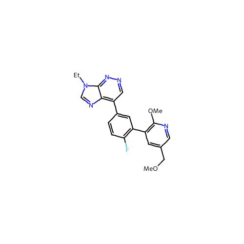 CCn1cnc2c(-c3ccc(F)c(-c4cc(COC)cnc4OC)c3)cnnc21